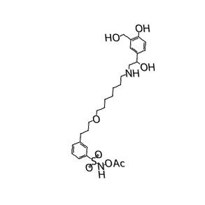 CC(=O)ONS(=O)(=O)c1cccc(CCCOCCCCCCCNCC(O)c2ccc(O)c(CO)c2)c1